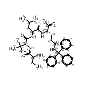 CC[C@H](N)C(=O)N[C@H](C(=O)N[C@@H](CC(C)C)C(=O)N[C@@H](CCC(=O)NC(c1ccccc1)(c1ccccc1)c1ccccc1)C(=O)O)C(C)(C)C